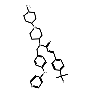 CN1CCC(N2CCC(N(Cc3ccc(Nc4ccncc4)cc3)C(=O)C=Cc3ccc(C(F)(F)F)cc3)CC2)CC1